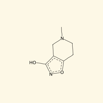 CN1CCc2onc(O)c2C1